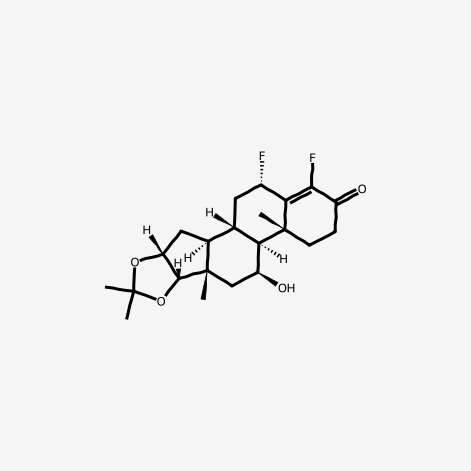 CC1(C)O[C@@H]2[C@@H](C[C@H]3[C@@H]4C[C@H](F)C5=C(F)C(=O)CC[C@]5(C)[C@H]4[C@@H](O)C[C@]23C)O1